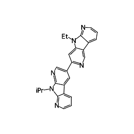 CCn1c2cc(-c3cnc4c(c3)c3cccnc3n4C(C)C)ncc2c2cccnc21